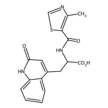 Cc1ncsc1C(=O)NC(Cc1cc(=O)[nH]c2ccccc12)C(=O)O